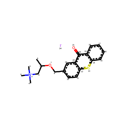 CC(C[N+](C)(C)C)OCc1ccc2sc3ccccc3c(=O)c2c1.[I-]